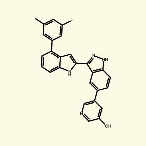 Cc1cc(F)cc(-c2cccc3[nH]c(-c4n[nH]c5ccc(-c6cncc(O)c6)cc45)cc23)c1